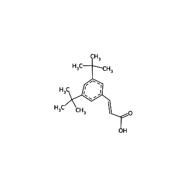 CC(C)(C)c1cc(/C=C/C(=O)O)cc(C(C)(C)C)c1